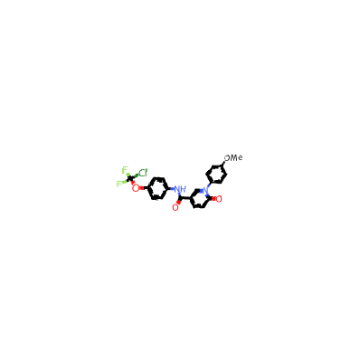 COc1ccc(-n2cc(C(=O)Nc3ccc(OC(F)(F)Cl)cc3)ccc2=O)cc1